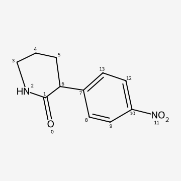 O=C1NCCCC1c1ccc([N+](=O)[O-])cc1